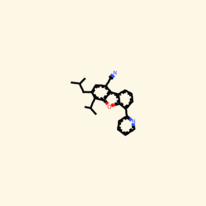 CC(C)Cc1cc(C#N)c2c(oc3c(-c4ccccn4)cccc32)c1C(C)C